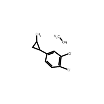 CC1CC1c1ccc(Cl)c(Cl)c1.CO